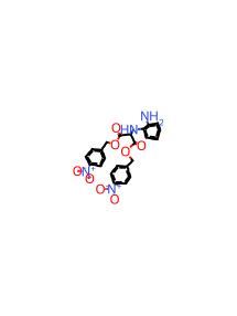 Nc1ccccc1NC(C(=O)OCc1ccc([N+](=O)[O-])cc1)C(=O)OCc1ccc([N+](=O)[O-])cc1